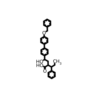 CCC(c1ccccc1)C(CC(O)c1ccc(-c2ccc(OCc3ccccc3)cc2)cc1)C(=O)O